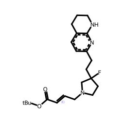 CC(C)(C)OC(=O)/C=C/CN1CCC(F)(CCc2ccc3c(n2)NCCC3)C1